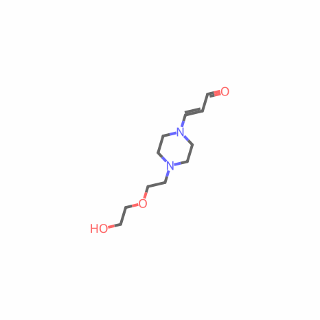 O=CC=CN1CCN(CCOCCO)CC1